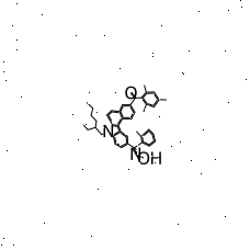 CCCCC(CC)Cn1c2ccc(/C(=N/O)c3ccccc3C)cc2c2c3ccc(C(=O)c4c(C)cc(C)cc4C)cc3ccc21